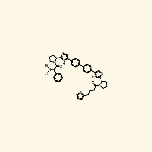 CCN(CC)[C@@H](C(=O)N1CCC[C@H]1c1ncc(-c2ccc(-c3ccc(-c4cnc([C@@H]5CCCN5C(=O)CCCc5cccs5)[nH]4)cc3)cc2)[nH]1)c1ccccc1